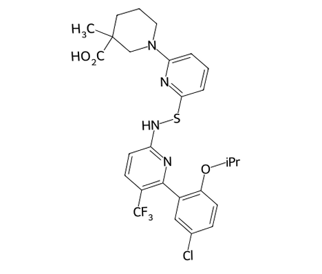 CC(C)Oc1ccc(Cl)cc1-c1nc(NSc2cccc(N3CCCC(C)(C(=O)O)C3)n2)ccc1C(F)(F)F